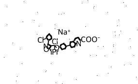 CC(C)c1onc(-c2c(Cl)cccc2Cl)c1COc1ccc(-c2ccc3nc(C(=O)[O-])ccc3c2)cc1.[Na+]